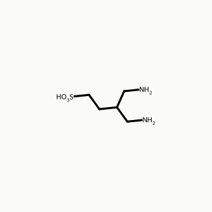 NCC(CN)CCS(=O)(=O)O